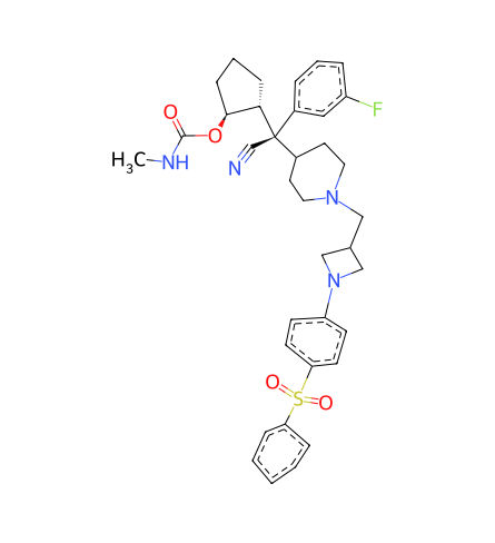 CNC(=O)O[C@H]1CCC[C@@H]1[C@](C#N)(c1cccc(F)c1)C1CCN(CC2CN(c3ccc(S(=O)(=O)c4ccccc4)cc3)C2)CC1